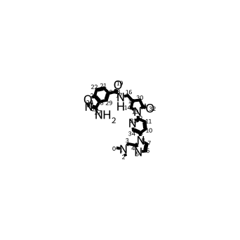 CN(C)Cc1nccn1-c1ccc(N2CC(CNC(=O)c3ccc4onc(N)c4c3)CC2=O)nc1